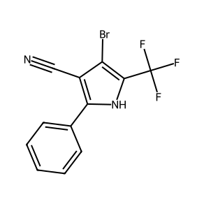 N#Cc1c(-c2ccccc2)[nH]c(C(F)(F)F)c1Br